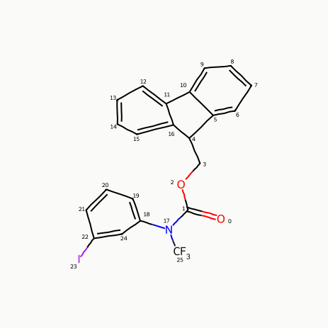 O=C(OCC1c2ccccc2-c2ccccc21)N(c1cccc(I)c1)C(F)(F)F